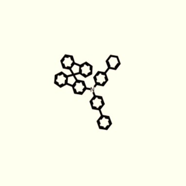 C1=CC(c2ccc(N(c3ccc(-c4ccccc4)cc3)c3ccc4c(c3)C3(c5ccccc5-c5ccccc53)c3ccccc3-4)cc2)=CCC1